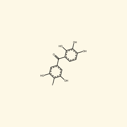 O=C(c1cc(O)c(F)c(O)c1)c1ccc(O)c(O)c1O